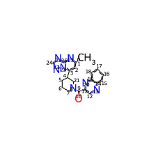 Cc1cc(C2CCCN(C(=O)c3cnc4ccccc4n3)C2)n2ncnc2n1